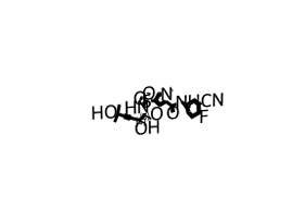 Cn1cc2c(c1C(=O)Nc1ccc(F)c(C#N)c1)OC[C@@H]([C@@H](O)C#CC(C)(C)O)NS2(=O)=O